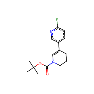 CC(C)(C)OC(=O)N1C=C(c2ccc(F)nc2)CCC1